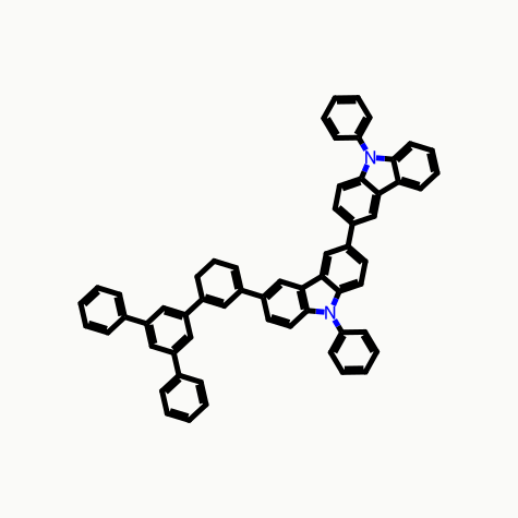 C1=C(c2ccc3c(c2)c2cc(-c4ccc5c(c4)c4ccccc4n5-c4ccccc4)ccc2n3-c2ccccc2)C=C(c2cc(-c3ccccc3)cc(-c3ccccc3)c2)CC1